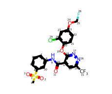 CS(=O)(=O)c1cccc(NC(=O)c2cc(C(F)(F)F)nnc2Oc2ccc(OCF)cc2Cl)c1